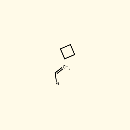 C1CCC1.C=CCC